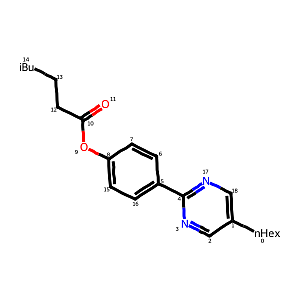 CCCCCCc1cnc(-c2ccc(OC(=O)CCC(C)CC)cc2)nc1